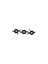 Fc1ccc(CNc2ccc(NCc3ccc(F)cc3F)cc2)c(F)c1